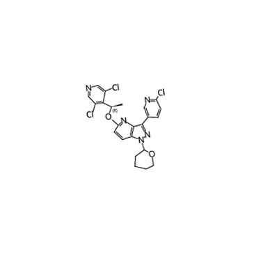 C[C@@H](Oc1ccc2c(n1)c(-c1ccc(Cl)nc1)nn2C1CCCCO1)c1c(Cl)cncc1Cl